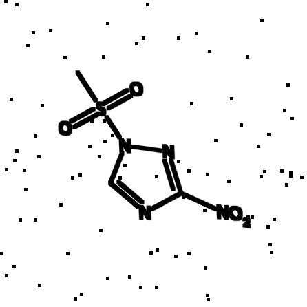 CS(=O)(=O)n1cnc([N+](=O)[O-])n1